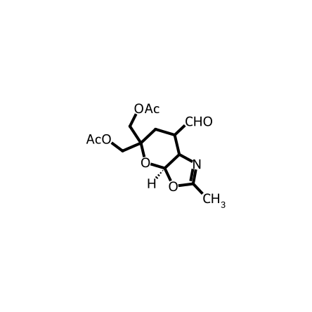 CC(=O)OCC1(COC(C)=O)CC(C=O)C2N=C(C)O[C@H]2O1